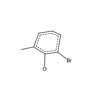 Cc1cccc(Br)c1[O]